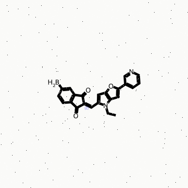 Bc1ccc2c(c1)C(=O)/C(=C\c1cc3oc(-c4cccnc4)cc3n1CC)C2=O